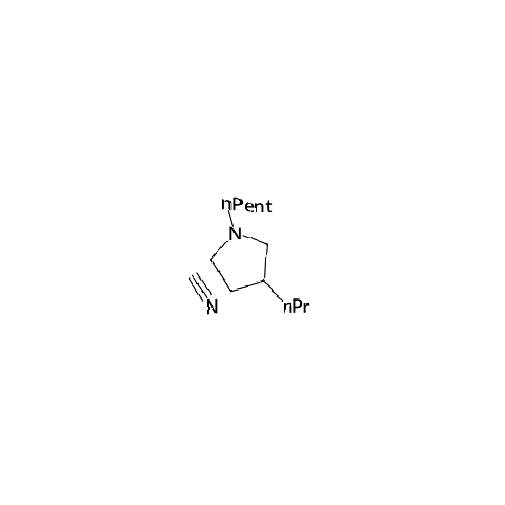 C#N.CCCCCN1CCC(CCC)C1